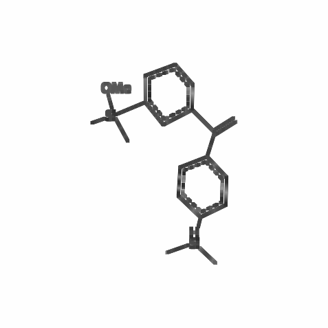 C=C(c1ccc([SiH](C)C)cc1)c1cccc([Si](C)(C)OC)c1